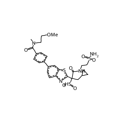 COCCN(C)C(=O)c1ccc(-c2ccc3nc(C(CC4CC4)(C(=O)NCCS(N)(=O)=O)[SH](=O)=O)sc3c2)cc1